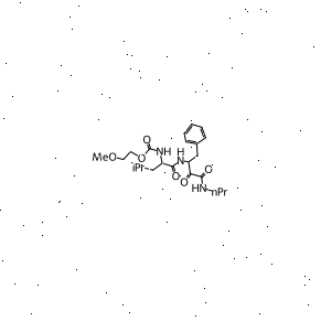 CCCNC(=O)C(=O)C(Cc1ccccc1)NC(=O)C(CC(C)C)NC(=O)OCCOC